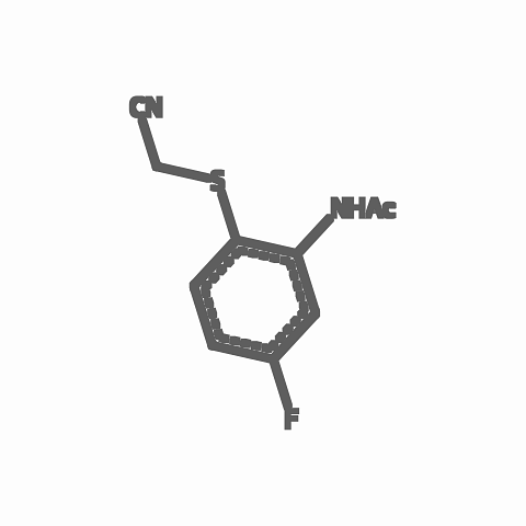 CC(=O)Nc1cc(F)ccc1SCC#N